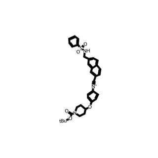 CC(C)(C)OC(=O)N1CCC(Oc2ccc([N+]#Cc3ccc4ccc(CNS(=O)(=O)c5ccccc5)cc4c3)cc2)CC1